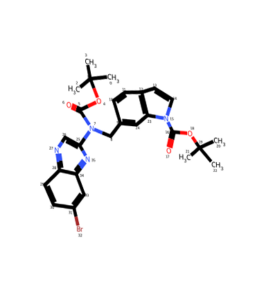 CC(C)(C)OC(=O)N(Cc1ccc2ccn(C(=O)OC(C)(C)C)c2c1)c1cnc2ccc(Br)cc2n1